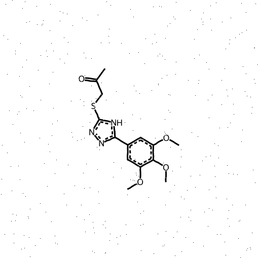 COc1cc(-c2nnc(SCC(C)=O)[nH]2)cc(OC)c1OC